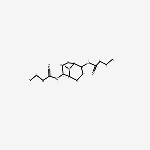 CCCC(=O)OC1CCC2C(OC(=O)CCC)CCC1N2C